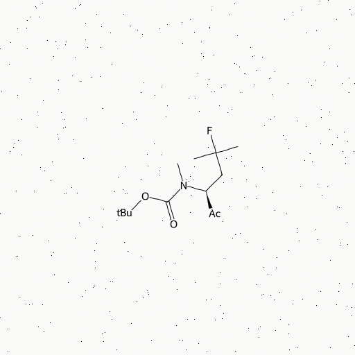 CC(=O)[C@H](CC(C)(C)F)N(C)C(=O)OC(C)(C)C